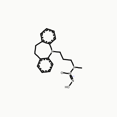 CN(CCCN1c2ccccc2CCc2ccccc21)/[N+]([O-])=N/O